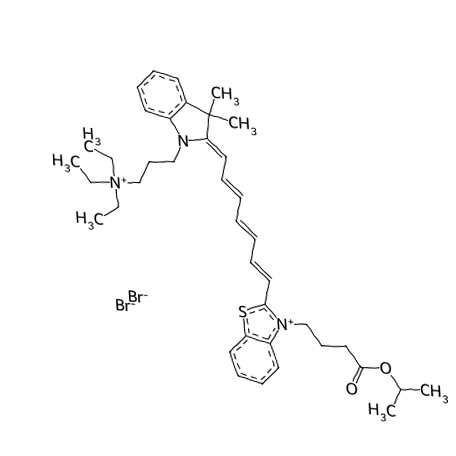 CC[N+](CC)(CC)CCCN1\C(=C/C=C/C=C/C=C/c2sc3ccccc3[n+]2CCCC(=O)OC(C)C)C(C)(C)c2ccccc21.[Br-].[Br-]